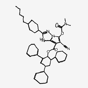 CCCCCC1CCC(c2nn3c(OC(=O)N(C)C)c(C#N)c(C(=O)OC4C(C5CCCCC5)CC(C5CCCCC5)CC4C4CCCCC4)c3[nH]2)CC1